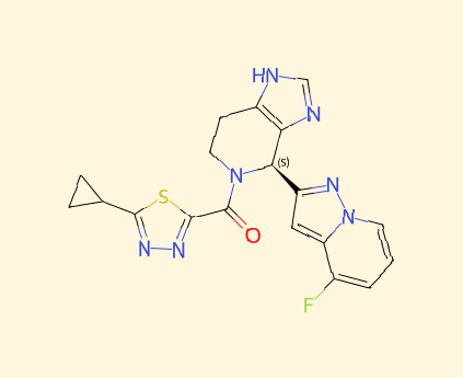 O=C(c1nnc(C2CC2)s1)N1CCc2[nH]cnc2[C@H]1c1cc2c(F)cccn2n1